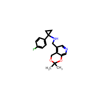 CC1(C)OCc2c(CNC3(c4ccc(F)cc4)CC3)cncc2O1